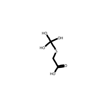 O=C(O)CSC(O)(O)O